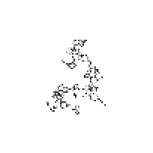 CCCC1CCN(C(=O)C(CCn2cccc2C#N)NS(=O)(=O)c2cc(Cl)c(N)c(Cl)c2)CC1.COC(=O)CCC1CCCN(C(=O)C(CCn2cccc2C#N)NS(=O)(=O)c2cccc3[nH]ccc23)C1.COC(=O)CCC1CCN(C(=O)C(CCn2cccc2C#N)NS(=O)(=O)c2cccc3[nH]ccc23)CC1